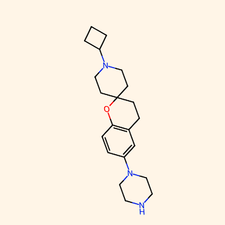 c1cc2c(cc1N1CCNCC1)CCC1(CCN(C3CCC3)CC1)O2